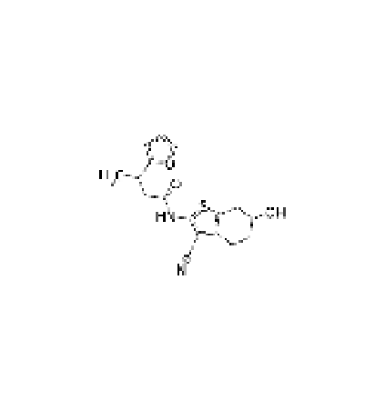 CC(CC(=O)Nc1sc2c(c1C#N)CCC(O)C2)c1ccco1